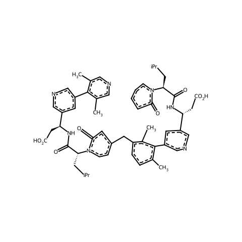 Cc1cncc(C)c1-c1cncc([C@H](CC(=O)O)NC(=O)[C@@H](CC(C)C)n2ccc(Cc3ccc(C)c(-c4cncc([C@@H](CC(=O)O)NC(=O)[C@H](CC(C)C)n5ccccc5=O)c4)c3C)cc2=O)c1